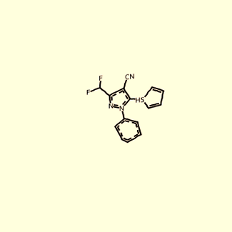 N#Cc1c(C(F)F)nn(-c2ccccc2)c1[SH]1C=CC=C1